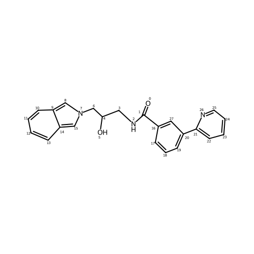 O=C(NCC(O)Cn1cc2ccccc2c1)c1cccc(-c2ccccn2)c1